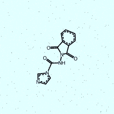 O=C1c2ccccc2C(=O)N1NC(=O)n1ccnc1